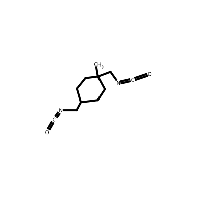 CC1(CN=C=O)CCC(CN=C=O)CC1